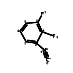 [C-]#[N+]c1cccc(F)c1F